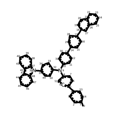 Cc1ccc(-c2ccc(N(c3ccc(-c4ccc(-c5ccc6ccccc6c5)cc4)cc3)c3ccc(-n4c5ccccc5c5ccccc54)cc3)cc2)cc1